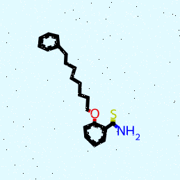 NC(=S)c1ccccc1OCCCCCCCCc1ccccc1